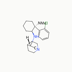 CN[C@@]1(c2ccccc2Cl)CCCC[C@@H]1N[C@@H]1CN2CCC1CC2